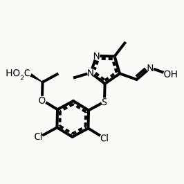 Cc1nn(C)c(Sc2cc(O[C@H](C)C(=O)O)c(Cl)cc2Cl)c1/C=N/O